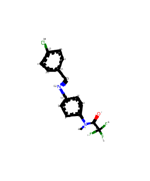 CN(C(=O)C(F)(F)F)c1ccc(/N=C/c2ccc(Cl)cc2)cc1